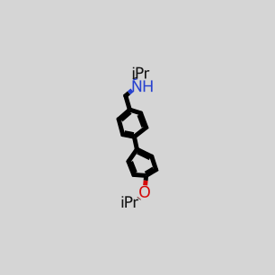 CC(C)NCc1ccc(-c2ccc(OC(C)C)cc2)cc1